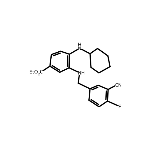 CCOC(=O)c1ccc(NC2CCCCC2)c(NCc2ccc(F)c(C#N)c2)c1